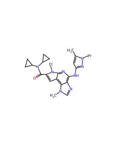 CCn1c(C(=O)N(C2CC2)C2CC2)cc2c3c(ncn3C)c(Nc3cc(C)n(C(C)C)n3)nc21